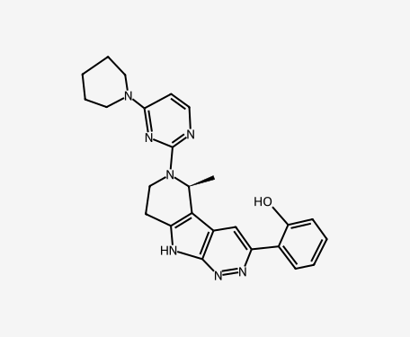 C[C@H]1c2c([nH]c3nnc(-c4ccccc4O)cc23)CCN1c1nccc(N2CCCCC2)n1